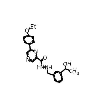 CCOc1ccc(-c2cncc(C(=O)NNCc3cccc(C(C)O)c3)n2)cc1